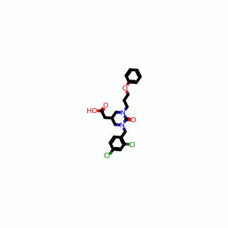 O=C(O)CC1CN(CCCOc2ccccc2)C(=O)N(Cc2ccc(Cl)cc2Cl)C1